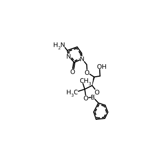 CC1(C)OB(c2ccccc2)O[C@@H]1C(CO)OCn1ccc(N)nc1=O